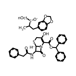 CCCCCCCC[S+]([O-])C(C)Cc1ccc2c(c1)OCO2.O=C(Cc1ccccc1)NC1C(=O)N2C(C(=O)OC(c3ccccc3)c3ccccc3)=C(O)CS[C@H]12